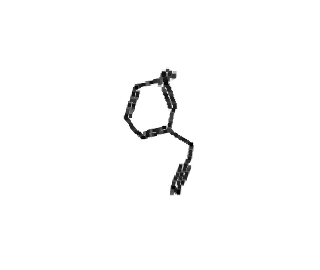 N#CCC1=CC=C[N+]=C1